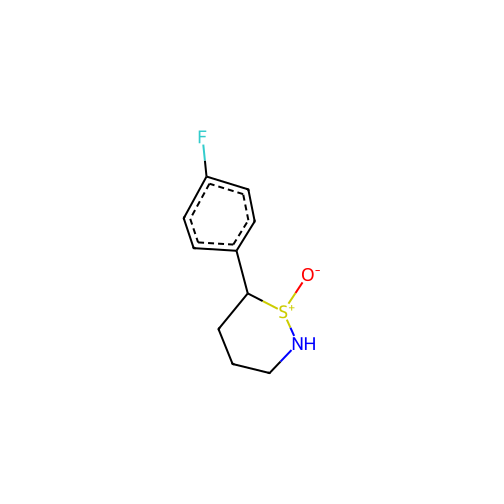 [O-][S+]1NCCCC1c1ccc(F)cc1